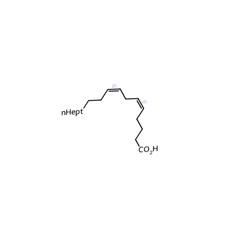 CCCCCCCCC/C=C\C/C=C\CCCC(=O)O